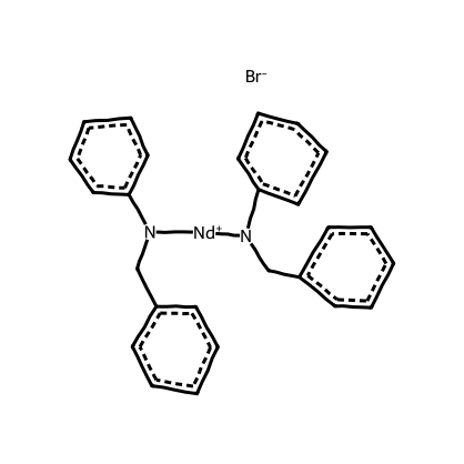 [Br-].c1ccc(C[N]([Nd+][N](Cc2ccccc2)c2ccccc2)c2ccccc2)cc1